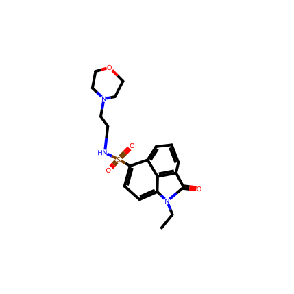 CCN1C(=O)c2cccc3c(S(=O)(=O)NCCN4CCOCC4)ccc1c23